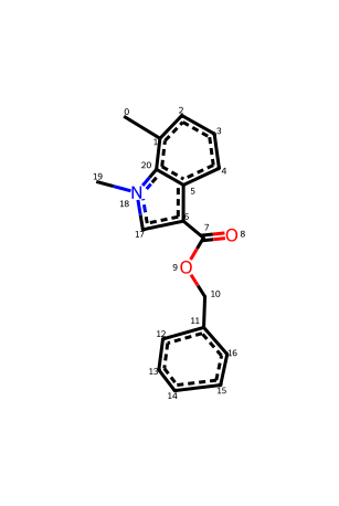 Cc1cccc2c(C(=O)OCc3ccccc3)cn(C)c12